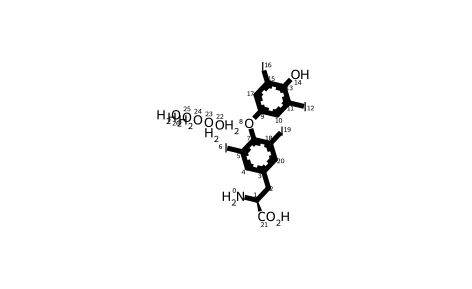 N[C@@H](Cc1cc(I)c(Oc2cc(I)c(O)c(I)c2)c(I)c1)C(=O)O.O.O.O.O.O